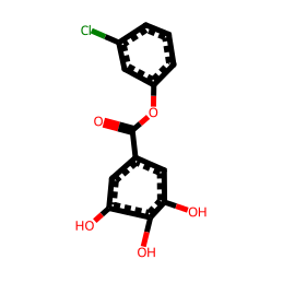 O=C(Oc1cccc(Cl)c1)c1cc(O)c(O)c(O)c1